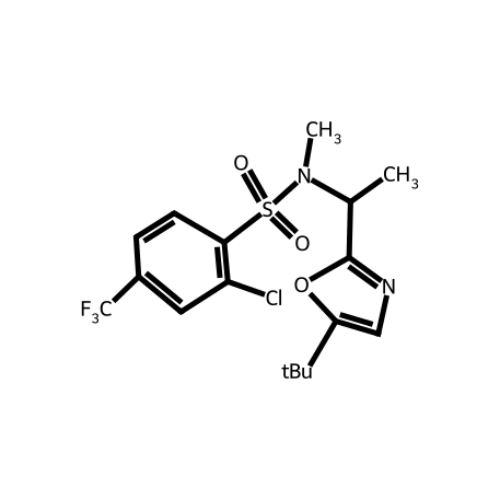 CC(c1ncc(C(C)(C)C)o1)N(C)S(=O)(=O)c1ccc(C(F)(F)F)cc1Cl